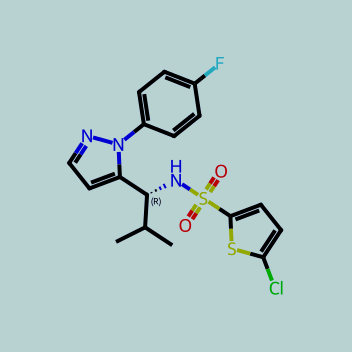 CC(C)[C@@H](NS(=O)(=O)c1ccc(Cl)s1)c1ccnn1-c1ccc(F)cc1